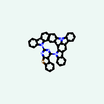 c1ccc2c(c1)sc1nc(-n3c4ccccc4c4ccccc43)nc(-n3c4ccccc4c4cc5c6ccccc6n6c7ccccc7c(c43)c56)c12